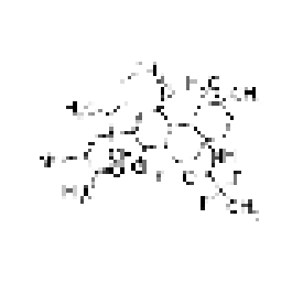 CCCC(C)C(C)(/C=C(/C#N)C(C)=O)C1=CC(=O)C2C(CCC3(NC(=O)C(C)(F)F)CCC(C)(C)CC23)C1C